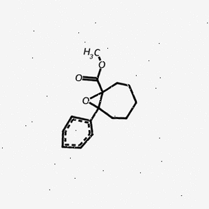 COC(=O)C12CCCCCC1(c1ccccc1)O2